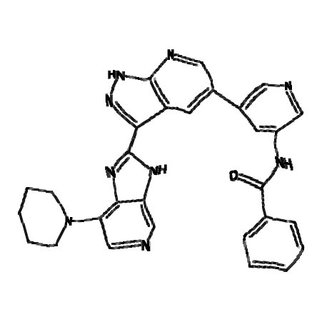 O=C(Nc1cncc(-c2cnc3[nH]nc(-c4nc5c(N6CCCCC6)cncc5[nH]4)c3c2)c1)c1ccccc1